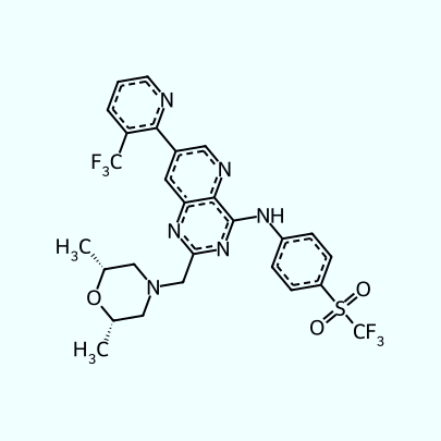 C[C@@H]1CN(Cc2nc(Nc3ccc(S(=O)(=O)C(F)(F)F)cc3)c3ncc(-c4ncccc4C(F)(F)F)cc3n2)C[C@H](C)O1